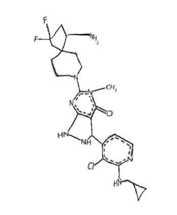 Cn1c(N2CCC3(CC2)CC(F)(F)C[C@H]3N)nc2c(c1=O)C(c1ccnc(NC3CC3)c1Cl)NN2